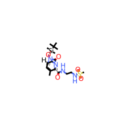 CC1=C[C@@H]2CN(C(=O)N2O[Si](C)(C)C(C)(C)C)[C@@H]1C(=O)NCCNS(C)(=O)=O